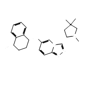 CCC[C@H]1CC[C@@H](Oc2ccc3nnc([C@@H]4CC(C)(C)CN4C)n3c2)c2ccccc21